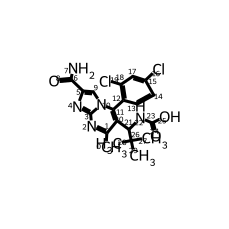 Cc1nc2nc(C(N)=O)cn2c(-c2ccc(Cl)cc2Cl)c1C(NC(=O)O)C(C)(C)C